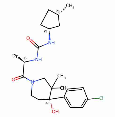 CC(C)[C@@H](NC(=O)N[C@H]1CC[C@H](C)C1)C(=O)N1CC[C@](O)(c2ccc(Cl)cc2)C(C)(C)C1